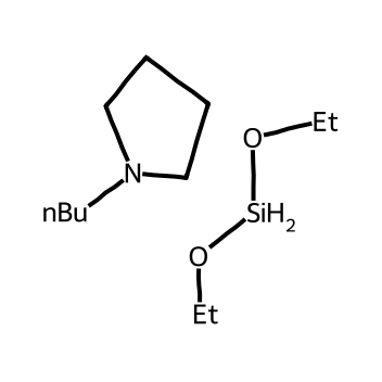 CCCCN1CCCC1.CCO[SiH2]OCC